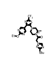 CCOc1ncc(-c2nc(C(F)(F)F)sc2N2CCN(C(=O)Cn3cnc(C(C)(C)C)n3)[C@H](C)C2)cn1